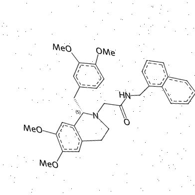 COc1ccc(C[C@H]2c3cc(OC)c(OC)cc3CCN2CC(=O)NCc2cccc3ccccc23)cc1OC